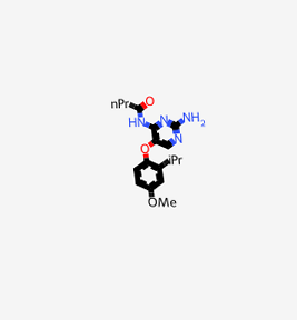 CCCC(=O)Nc1nc(N)ncc1Oc1ccc(OC)cc1C(C)C